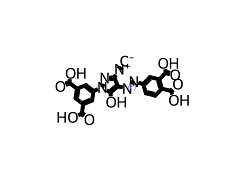 [C-]#[N+]c1nn(-c2cc(C(=O)O)cc(C(=O)O)c2)c(O)c1/N=N/c1ccc(C(=O)O)c(C(=O)O)c1